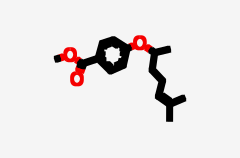 COC(=O)c1ccc(OC(C)CCC=C(C)C)cc1